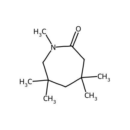 CN1CC(C)(C)CC(C)(C)CC1=O